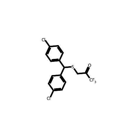 O=C(CSC(c1ccc(Cl)cc1)c1ccc(Cl)cc1)C(F)(F)F